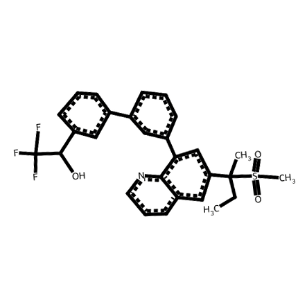 CCC(C)(c1cc(-c2cccc(-c3cccc(C(O)C(F)(F)F)c3)c2)c2ncccc2c1)S(C)(=O)=O